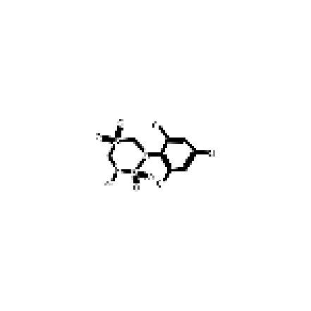 [2H]N1CS(=O)(=O)CN(c2c(Cl)cc(Cl)cc2Cl)S1(=O)=O